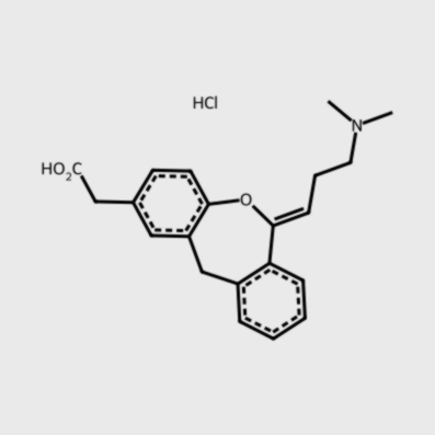 CN(C)CCC=C1Oc2ccc(CC(=O)O)cc2Cc2ccccc21.Cl